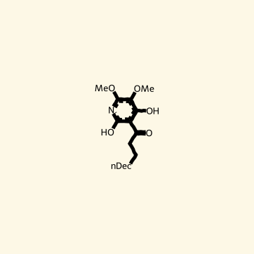 CCCCCCCCCCCCC(=O)c1c(O)nc(OC)c(OC)c1O